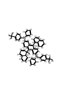 CC(C)(C)c1ccc(N(c2ccccc2)c2ccc3c(C4(C)C=CC=C5C=CC=CC54)c4cc(N(c5ccccc5)c5ccc(C(C)(C)C)cc5)ccc4c(-c4cccc5ccccc45)c3c2)cc1